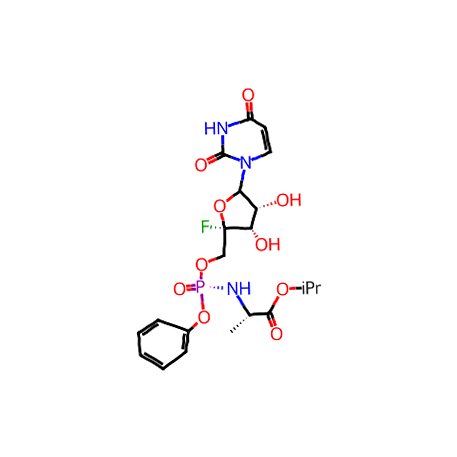 CC(C)OC(=O)[C@H](C)N[P@](=O)(OC[C@@]1(F)OC(n2ccc(=O)[nH]c2=O)[C@H](O)[C@@H]1O)Oc1ccccc1